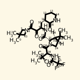 CC1(C)CN(C(=O)C(=O)C(C[C@@H]2CCCNC2=O)NC(=O)[C@@H]2[C@@H]3[C@H](CN2C(=O)C(NC(=O)C(F)(F)F)C(C)(C)C)C3(C)C)C1